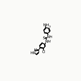 Nc1ccc(NC(=S)Nc2ccc(-c3cc[nH]n3)c(Cl)c2)cc1